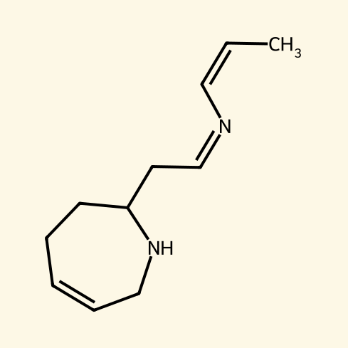 C/C=C\N=C/CC1CCC=CCN1